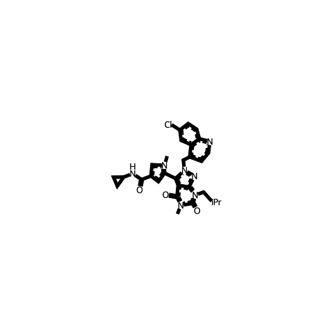 CC(C)Cn1c(=O)n(C)c(=O)c2c(-c3cc(C(=O)NC4CC4)cn3C)n(Cc3ccnc4ccc(Cl)cc34)nc21